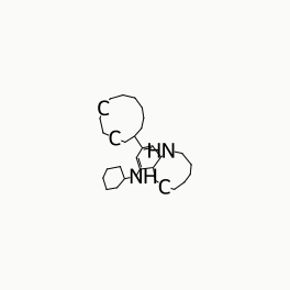 C1=C(C2CCCCCCCCCCC2)C=C(NC2CCCCC2)C2CCCCCCCNC12